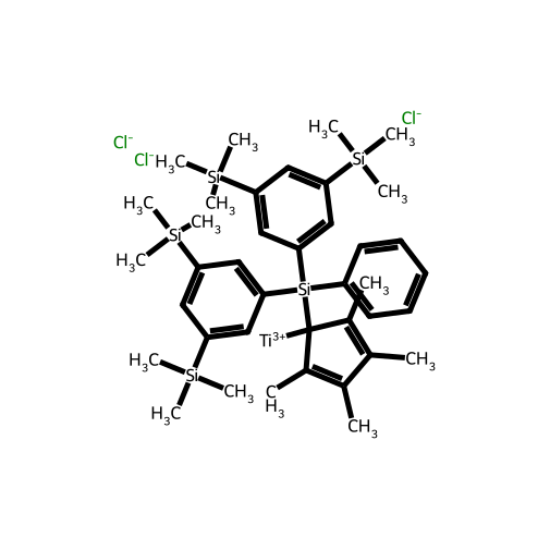 CC1=C(C)[C]([Ti+3])([Si](c2ccccc2)(c2cc([Si](C)(C)C)cc([Si](C)(C)C)c2)c2cc([Si](C)(C)C)cc([Si](C)(C)C)c2)C(C)=C1C.[Cl-].[Cl-].[Cl-]